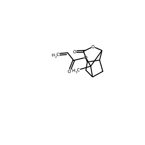 C=CC(=O)OC1(C)C2CC3C(=O)OC1C3C2